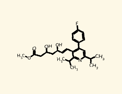 COC(=O)CC(O)CC(O)C=Cc1c(-c2ccc(F)cc2)cc(C(C)C)nc1C(C)C